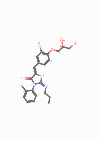 CCC/N=C1/S/C(=C\c2ccc(OC[C@@H](O)CO)c(Cl)c2)C(=O)N1c1ccccc1C